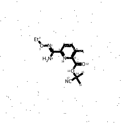 CCO/N=C(\N)c1ccc(C)c(C(=O)OC(C)(C)C#N)n1